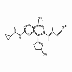 C=N/C=C\C(C)=C(/C)c1nc(N)c2cnc(NC(=O)C3CC3)cc2c1C1=C[C@@H](O)CC1